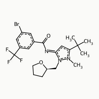 Cn1c(C(C)(C)C)c/c(=N\C(=O)c2cc(Br)cc(C(F)(F)F)c2)n1C[C@H]1CCCO1